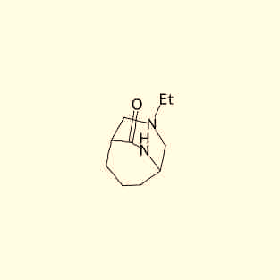 CCN1CC2CCCC(C1)C(=O)N2